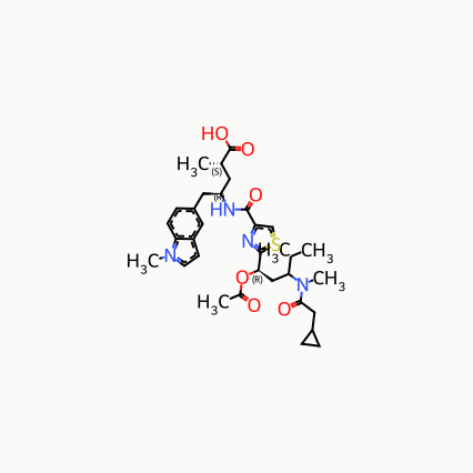 CC(=O)O[C@H](CC(C(C)C)N(C)C(=O)CC1CC1)c1nc(C(=O)N[C@@H](Cc2ccc3c(ccn3C)c2)C[C@H](C)C(=O)O)cs1